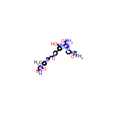 Cc1cc(N2CC(CC(=O)N3CCC(c4ccc(Nc5nc(N6CCC[C@@H](N7CCN(C)C7=O)C6)nnc5C(N)=O)c(CO)c4)CC3)C2)ccc1N1CCC(=O)NC1=O